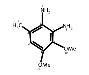 COc1cc(C)c(N)c(N)c1OC